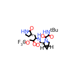 CC(C)(C)NC(=O)C(=O)N1C[C@@H]2C[C@@H]2[C@H]1C(=O)NC(C[C@@H]1CCNC1=O)C(=O)COC(F)(F)F